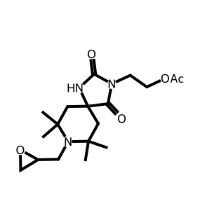 CC(=O)OCCN1C(=O)NC2(CC(C)(C)N(CC3CO3)C(C)(C)C2)C1=O